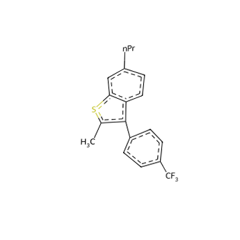 [CH2]CCc1ccc2c(-c3ccc(C(F)(F)F)cc3)c(C)sc2c1